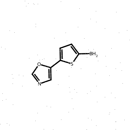 Bc1ccc(-c2cnco2)s1